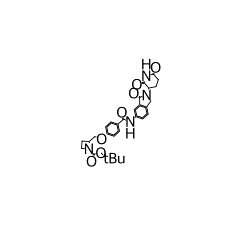 CC(C)(C)OC(=O)N1CCC1COc1ccc(C(=O)Nc2ccc3c(c2)C(=O)N(C2CCC(=O)NC2=O)C3)cc1